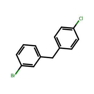 Clc1ccc(Cc2cccc(Br)c2)cc1